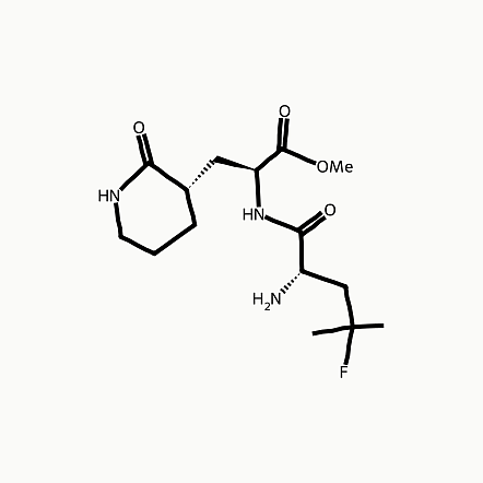 COC(=O)[C@H](C[C@@H]1CCCNC1=O)NC(=O)[C@@H](N)CC(C)(C)F